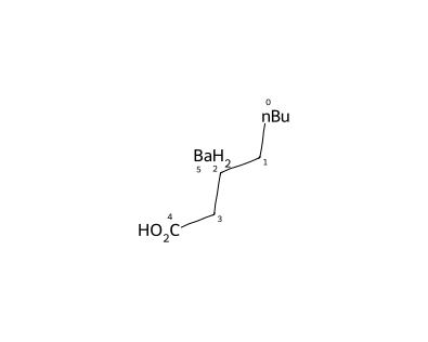 CCCCCCCC(=O)O.[BaH2]